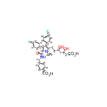 CC(C)n1c(CCC(O)CC(O)CC(=O)O)c(-c2ccc(F)cc2)c(-c2ccc(F)cc2)c1C(=O)NCc1ccc(C(=O)O)cc1